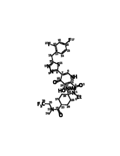 CCN(C(=O)c1[nH]cc(-c2nnc(Cc3ccc(F)cc3F)s2)c(=O)c1O)C1(NC)CCC(C(=O)N(C)CC(F)(F)F)CC1